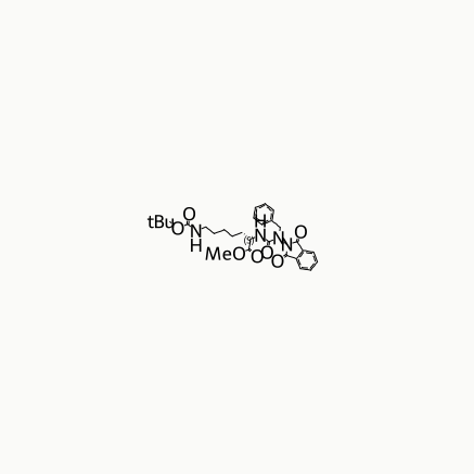 COC(=O)[C@H](CCCCCNC(=O)OC(C)(C)C)NC(=O)N(Cc1ccccc1)N1C(=O)c2ccccc2C1=O